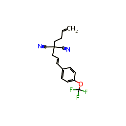 C=CCCC(C#N)(C#N)CC=Cc1ccc(OC(F)(F)F)cc1